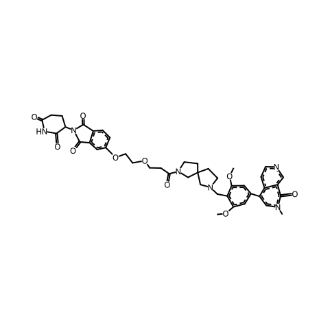 COc1cc(-c2cn(C)c(=O)c3cnccc23)cc(OC)c1CN1CCC2(CCN(C(=O)CCOCCOc3ccc4c(c3)C(=O)N(C3CCC(=O)NC3=O)C4=O)C2)C1